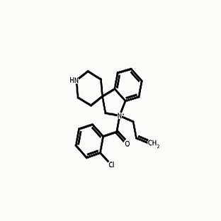 C=CC[N+]1(C(=O)c2ccccc2Cl)CC2(CCNCC2)c2ccccc21